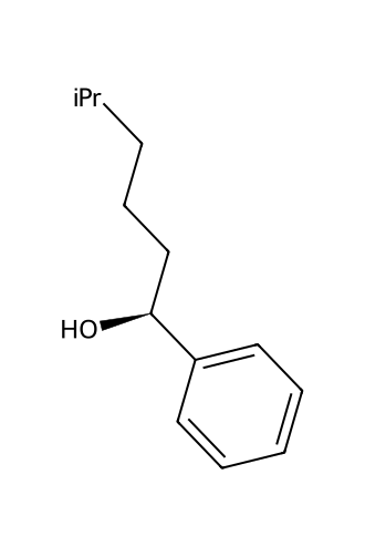 [CH2]C(C)CCC[C@H](O)c1ccccc1